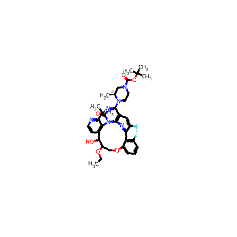 CCOC1COc2cccc(F)c2-c2nc3c(cc2F)c(N2CCN(C(=O)OC(C)(C)C)C[C@@H]2C)nc(=O)n3-c2c(ccnc2C(C)C)C1O